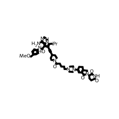 COCc1ccc(NC(=O)c2c(C#CC3CCN(C(=O)CCCCN4CCN(C5=CC6=C(CC5)CN(C5CCC(=O)NC5=O)C6=O)CC4)CC3)c(C(C)C)n3ncnc(N)c23)cc1